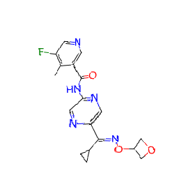 Cc1c(F)cncc1C(=O)Nc1cnc(C(=NOC2COC2)C2CC2)cn1